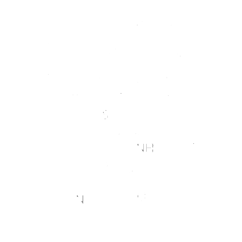 CN(C)CC1C(=O)NC1SC(c1ccccc1)(c1ccccc1)c1ccccc1